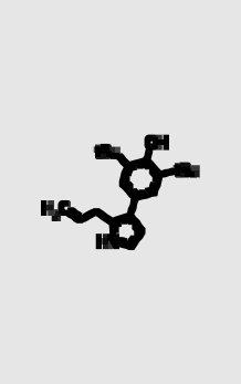 C=CCc1[nH]ccc1-c1cc(C(C)(C)C)c(O)c(C(C)(C)C)c1